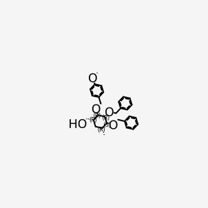 COc1ccc(CO[C@@H]2[C@@H](CO)C[C@@H](C)[C@H](OCc3ccccc3)[C@H]2OCc2ccccc2)cc1